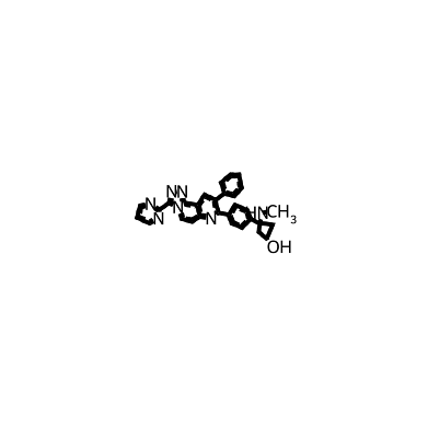 CNC1(c2ccc(-c3nc4ccn5c(-c6ncccn6)nnc5c4cc3-c3ccccc3)cc2)CC(O)C1